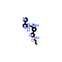 CCCC(=O)Nc1cncc(-c2ccc3[nH]nc(-c4nc5c(-c6cccnc6)ccnc5[nH]4)c3c2)c1